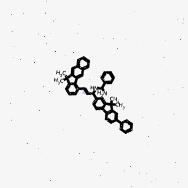 CC1(C)c2cc(-c3ccccc3)ccc2-c2ccc(C(/C=C/c3cccc4c3-c3cc5ccccc5cc3C4(C)C)NC(N)c3ccccc3)cc21